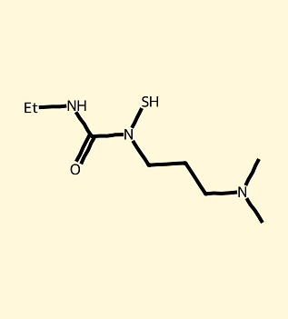 CCNC(=O)N(S)CCCN(C)C